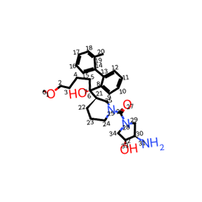 COCCCC[C@@](O)(c1ccccc1-c1ccccc1C)[C@@H]1CCCN(C(=O)N2C[C@@H](N)[C@@H](O)C2)C1